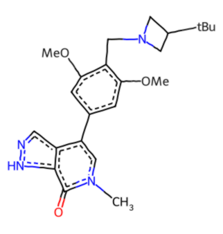 COc1cc(-c2cn(C)c(=O)c3[nH]ncc23)cc(OC)c1CN1CC(C(C)(C)C)C1